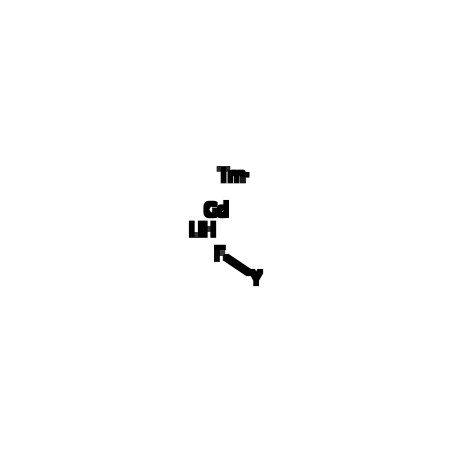 [F][Y].[Gd].[LiH].[Tm]